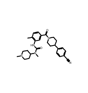 Cc1ccc(C(=O)N2CCC(c3ccc(C#N)cc3)CC2)cc1NC(=O)N(C)C1CCN(C)CC1